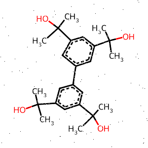 CC(C)(O)c1cc(-c2cc(C(C)(C)O)cc(C(C)(C)O)c2)cc(C(C)(C)O)c1